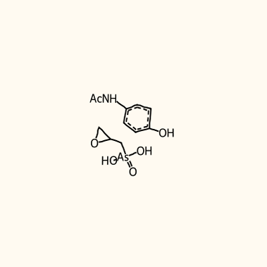 CC(=O)Nc1ccc(O)cc1.O=[As](O)(O)CC1CO1